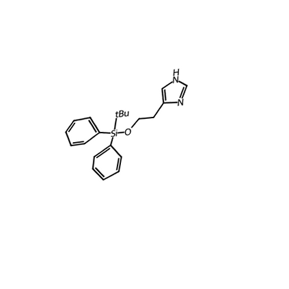 CC(C)(C)[Si](OCCc1c[nH]cn1)(c1ccccc1)c1ccccc1